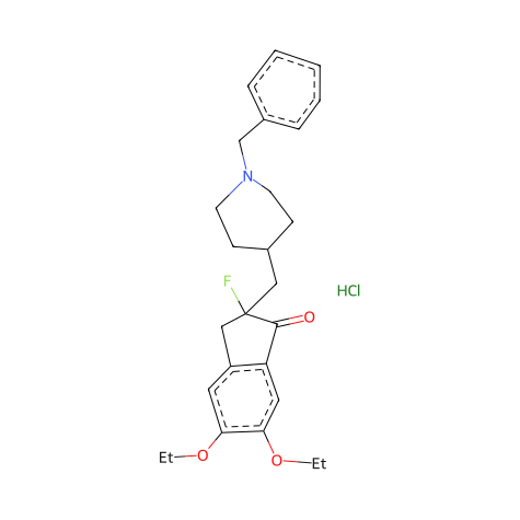 CCOc1cc2c(cc1OCC)C(=O)C(F)(CC1CCN(Cc3ccccc3)CC1)C2.Cl